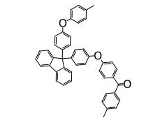 Cc1ccc(Oc2ccc(C3(c4ccc(Oc5ccc(C(=O)c6ccc(C)cc6)cc5)cc4)c4ccccc4-c4ccccc43)cc2)cc1